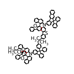 CC(C)(C)c1cccc2c1oc1cc(N(c3ccc4c(c3)-c3ccccc3C4(c3ccccc3)c3ccc(CC(C)(C)c4ccc5sc6cc(N(c7ccc8c(c7)-c7cc9ccccc9cc7C87c8ccccc8-c8ccccc87)c7ccc8ccccc8c7-c7cccc8c7oc7ccccc78)ccc6c5c4)cc3)c3ccc4ccccc4c3-c3cccc4c3oc3ccccc34)ccc12